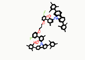 Cc1cc(C)c(-c2ccc3c4ccc(-c5c(C)cc(C)cc5C)cc4n(-c4cc(C)cc(-c5cc(F)ccc5OCCCOc5ccc(F)cc5-c5cc(C)cc(-n6c7cc(-c8c(C)cc(C)cc8C)ccc7c7ccc(-c8c(C)cc(C)cc8C)cc76)c5O)c4O)c3c2)c(C)c1